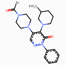 CCOC(=O)C1CCCN(c2c(N3CCN(C(=O)C(C)=O)CC3)cnn(-c3ccccc3)c2=O)C1